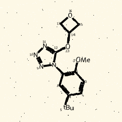 COc1ccc(C(C)(C)C)cc1-n1nnnc1OC1COC1